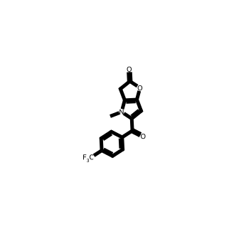 Cn1c(C(=O)c2ccc(C(F)(F)F)cc2)cc2c1CC(=O)O2